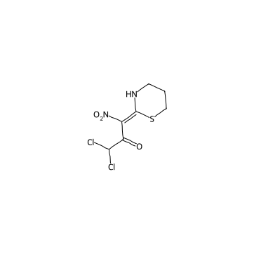 O=C(C(=C1NCCCS1)[N+](=O)[O-])C(Cl)Cl